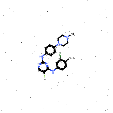 CC(=O)Nc1ccc(Nc2nc(Nc3ccc(N4CCN(C)CC4)cc3)ncc2F)cc1Cl